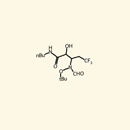 CCCCNC(=O)C(O)C(CC(F)(F)F)N(C=O)OC(C)(C)C